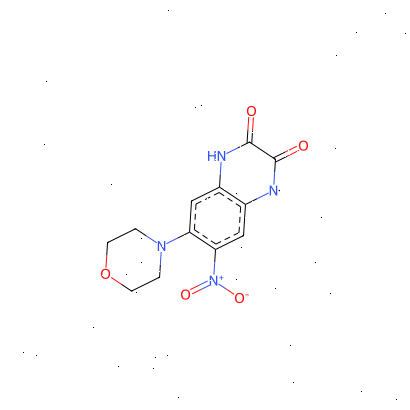 O=C1[N]c2cc([N+](=O)[O-])c(N3CCOCC3)cc2NC1=O